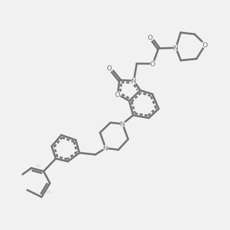 C/C=C\C(=C/C)c1cccc(CN2CCN(c3cccc4c3oc(=O)n4COC(=O)N3CCOCC3)CC2)c1